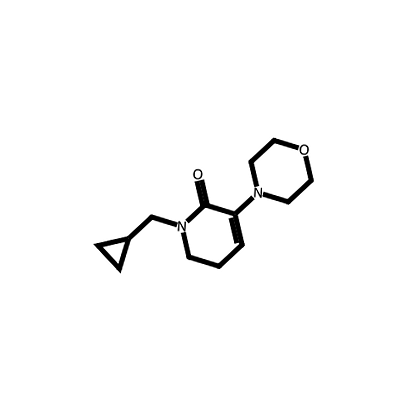 O=C1C(N2CCOCC2)=CCCN1CC1CC1